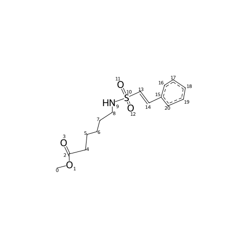 COC(=O)CCCCCNS(=O)(=O)C=Cc1ccccc1